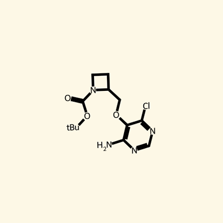 CC(C)(C)OC(=O)N1CCC1COc1c(N)ncnc1Cl